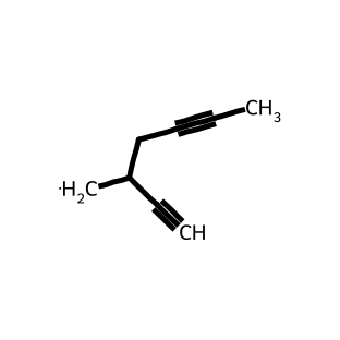 C#CC([CH2])CC#CC